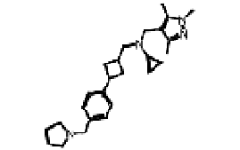 Cc1nn(C)c(C)c1CN(CC1CC(c2ccc(CN3CCCC3)cc2)C1)C1CC1